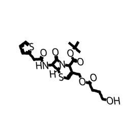 CC(C)(C)OC(=O)C1C(COC(=O)CCCO)=CS[C@H]2C(NC(=O)Cc3cccs3)C(=O)N12